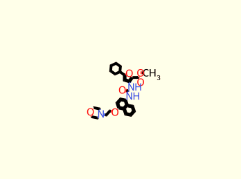 COC(=O)c1oc(C2CCCCC2)cc1NC(=O)Nc1ccc(OCCN2CCOCC2)c2ccccc12